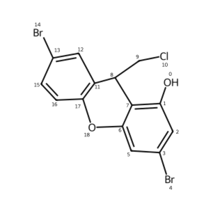 Oc1cc(Br)cc2c1C(CCl)c1cc(Br)ccc1O2